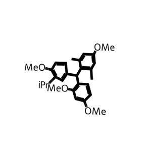 COc1cc(C)c(C(c2ccc(OC)c(C(C)C)c2)c2ccc(OC)cc2OC)c(C)c1